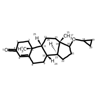 C[C@]12CCC(=O)C=C1CC[C@@H]1[C@H]2CC[C@]2(C)C(OC3CC3)CC[C@@H]12